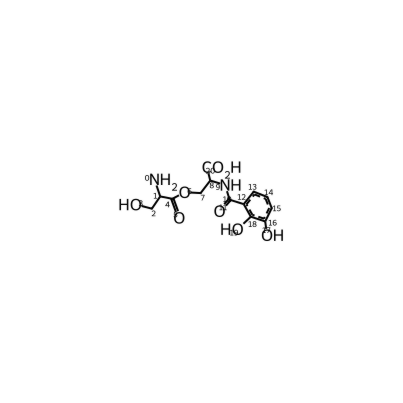 NC(CO)C(=O)OCC(NC(=O)c1cccc(O)c1O)C(=O)O